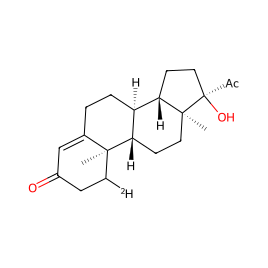 [2H]C1CC(=O)C=C2CC[C@H]3[C@@H]4CC[C@](O)(C(C)=O)[C@@]4(C)CC[C@@H]3[C@]21C